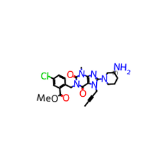 CC#CCn1c(N2CCC[C@@H](N)C2)nc2c1c(=O)n(Cc1ccc(Cl)cc1C(=O)OC)c(=O)n2C